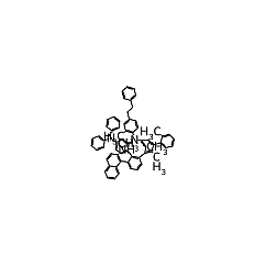 CNc1ccc2ccccc2c1-c1cccc2c1-c1ccc(N(c3ccccc3)c3ccccc3)cc1N(c1ccc(CCc3ccccc3)cc1C)c1cc(-c3ccccc3C)c(C)c-2c1C